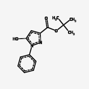 CC(C)(C)OC(=O)c1cc(O)n(-c2ccccc2)n1